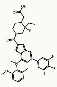 CCC1(F)CN(C(=O)c2cc3nc(-c4cc(F)c(F)c(F)c4)cc(N(C)c4c(C)cccc4OC)n3n2)CC[C@H]1CC(=O)O